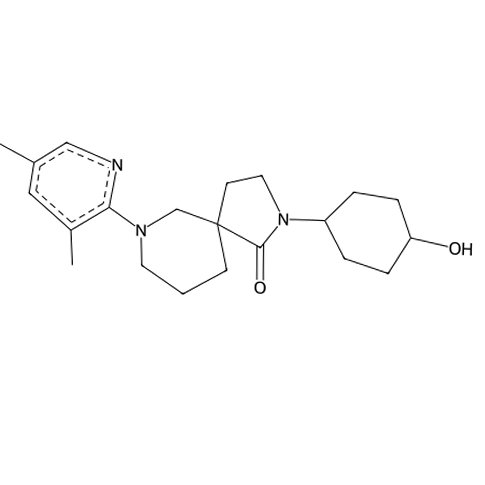 Cc1cc(Br)cnc1N1CCCC2(CCN(C3CCC(O)CC3)C2=O)C1